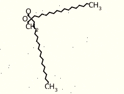 C=C1OC(=O)C1(CCCCCCCCCCCCCCCC)CCCCCCCCCCCCCCCCCC